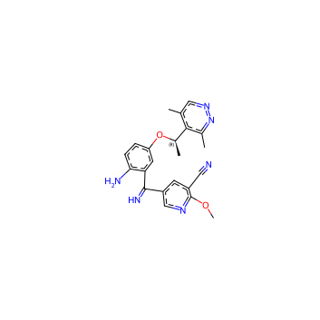 COc1ncc(C(=N)c2cc(O[C@H](C)c3c(C)cnnc3C)ccc2N)cc1C#N